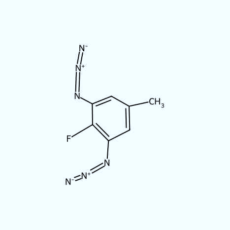 Cc1cc(N=[N+]=[N-])c(F)c(N=[N+]=[N-])c1